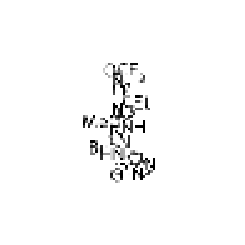 CCc1cc(Nc2ncc(Br)c(Nc3ccc4nccnc4c3P(C)(C)=O)n2)c(OC)nc1C1CCN(C(=O)C(F)(F)F)CC1